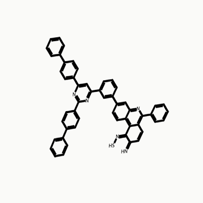 N=C1C=Cc2c(-c3ccccc3)nc3cc(-c4cccc(-c5cc(-c6ccc(-c7ccccc7)cc6)nc(-c6ccc(-c7ccccc7)cc6)n5)c4)ccc3c2/C1=N/S